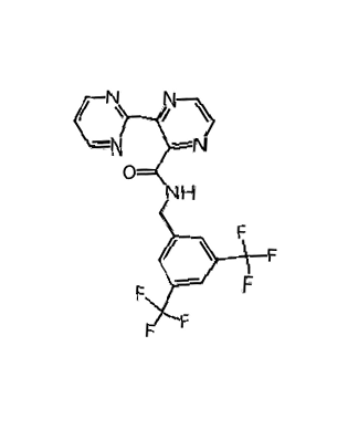 O=C(NCc1cc(C(F)(F)F)cc(C(F)(F)F)c1)c1nccnc1-c1ncccn1